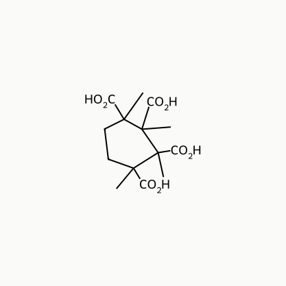 CC1(C(=O)O)CCC(C)(C(=O)O)C(C)(C(=O)O)C1(C)C(=O)O